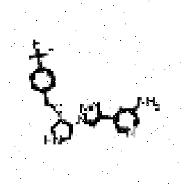 Nc1cncc(-c2cn([C@@H]3CNC[C@H]3OCc3ccc(C(F)(F)F)cc3)nn2)c1